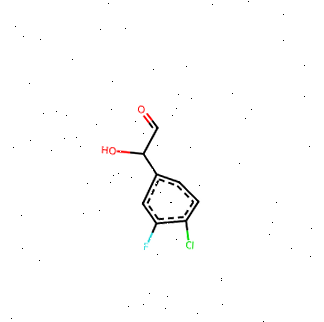 O=CC(O)c1ccc(Cl)c(F)c1